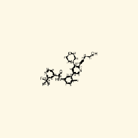 Cc1ccc(NC(=O)c2ccnc(C(F)(F)F)c2)cc1-c1cnc(C#CCCO)c(N2CCOCC2)c1